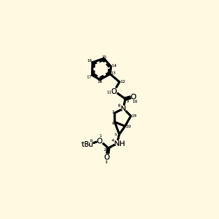 CC(C)(C)OC(=O)NC1C2CN(C(=O)OCc3ccccc3)CC21